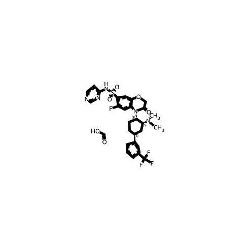 CN(C)[C@H]1C[C@@H](c2cccc(C(F)(F)F)c2)CC[C@@H]1N1C(=O)COc2cc(S(=O)(=O)Nc3ccncn3)c(F)cc21.O=CO